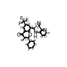 Cc1c(-c2ccccc2)oc2c([C@@H](C)Nc3cccnc3C#N)cc(C(F)(F)F)cc2c1=O